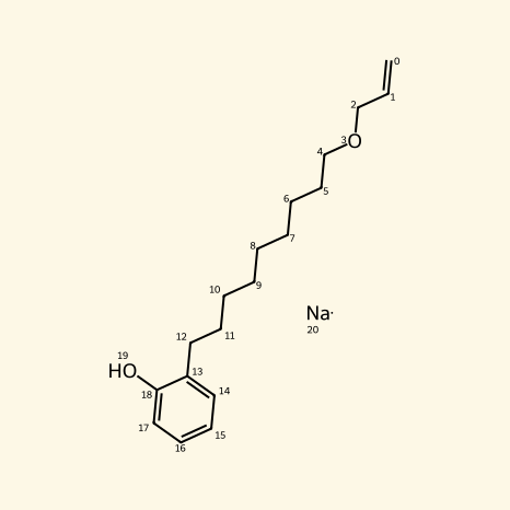 C=CCOCCCCCCCCCc1ccccc1O.[Na]